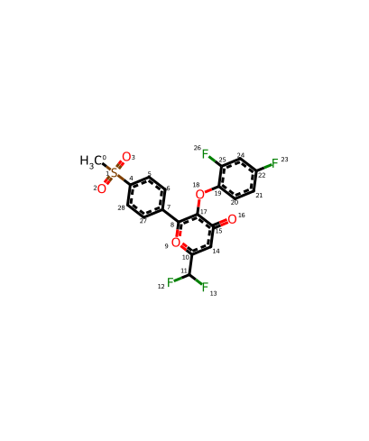 CS(=O)(=O)c1ccc(-c2oc(C(F)F)cc(=O)c2Oc2ccc(F)cc2F)cc1